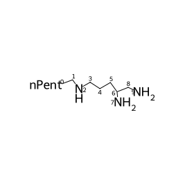 CCCCCCNCCCC(N)CN